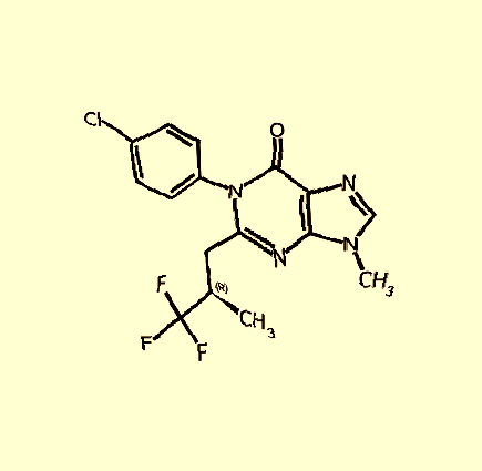 C[C@H](Cc1nc2c(ncn2C)c(=O)n1-c1ccc(Cl)cc1)C(F)(F)F